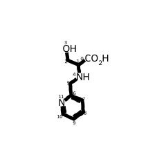 O=C(O)C(CO)NCc1ccccn1